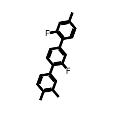 Cc1ccc(-c2ccc(-c3ccc(C)c(C)c3)c(F)c2)c(F)c1